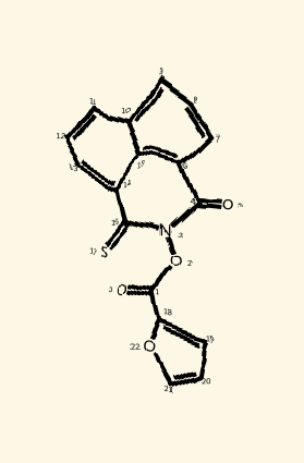 O=C(ON1C(=O)c2cccc3cccc(c23)C1=S)c1ccco1